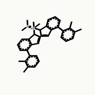 Cc1cccc(-c2cccc3c2C=C[CH]3[Hf]([CH3])([CH3])([CH]2C=Cc3c(-c4cccc(C)c4C)cccc32)=[Si](C)C)c1C